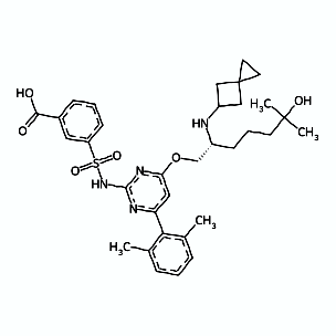 Cc1cccc(C)c1-c1cc(OC[C@@H](CCCC(C)(C)O)NC2CC3(CC3)C2)nc(NS(=O)(=O)c2cccc(C(=O)O)c2)n1